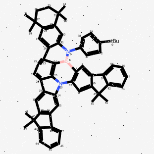 CC(C)(C)c1ccc(N2B3c4cc5c(cc4-n4c6cc7c(cc6c6ccc(c3c64)-c3cc4c(cc32)C(C)(C)CCC4(C)C)C(C)(C)c2ccccc2-7)C(C)(C)c2ccccc2-5)cc1